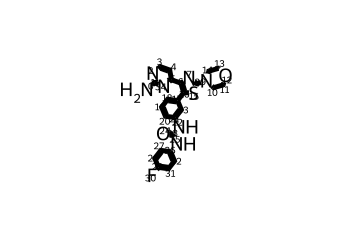 Nc1nccc(-c2nc(N3CCOCC3)sc2-c2cccc(NC(=O)Nc3ccc(F)cc3)c2)n1